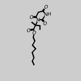 CCCCCCCCOC(=O)C(C)(CC)N1C(=O)CC(=O)NC1=O